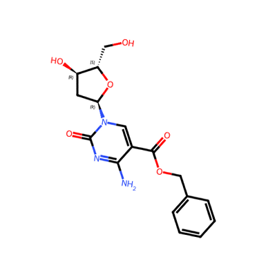 Nc1nc(=O)n([C@H]2C[C@@H](O)[C@H](CO)O2)cc1C(=O)OCc1ccccc1